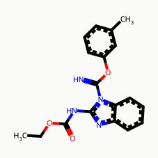 CCOC(=O)Nc1nc2ccccc2n1C(=N)Oc1cccc(C)c1